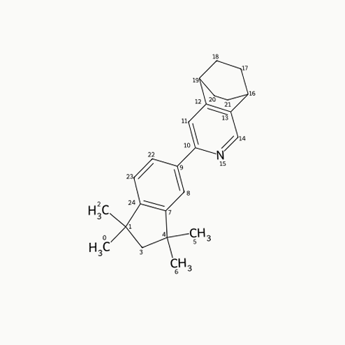 CC1(C)CC(C)(C)c2cc(-c3cc4c(cn3)C3CCC4CC3)ccc21